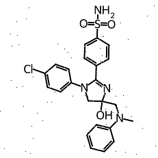 CN(CC1(O)CN(c2ccc(Cl)cc2)C(c2ccc(S(N)(=O)=O)cc2)=N1)c1ccccc1